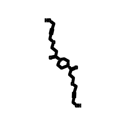 O=C(CCOCC#CCO)N1CCN(C(=O)CCOCC#CCO)CC1